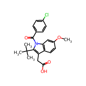 COc1ccc2c(CC(=O)O)c(C(C)(C)C)n(C(=O)c3ccc(Cl)cc3)c2c1